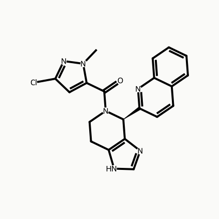 Cn1nc(Cl)cc1C(=O)N1CCc2[nH]cnc2[C@@H]1c1ccc2ccccc2n1